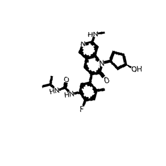 CNc1cc2c(cn1)cc(-c1cc(NC(=O)NC(C)C)c(F)cc1C)c(=O)n2C1CC[C@@H](O)C1